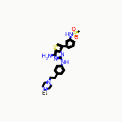 CCN1CCN(CCc2ccc(Nc3nc(N)c4scc(-c5cccc(NS(C)(=O)=O)c5)c4n3)cc2)CC1